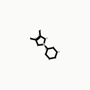 CC1=C(C)CN(C2CCCCC2)C1